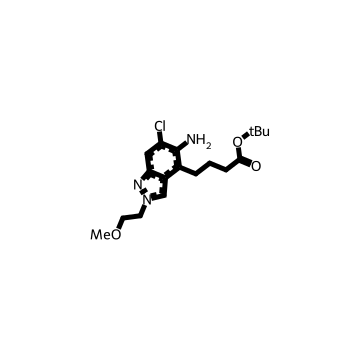 COCCn1cc2c(CCCC(=O)OC(C)(C)C)c(N)c(Cl)cc2n1